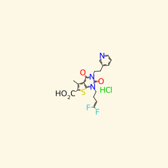 Cc1c(C(=O)O)sc2c1c(=O)n(CCc1cccnc1)c(=O)n2CCC=C(F)F.Cl